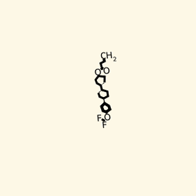 C=CCC(=O)O[C@H]1CC[C@H]([C@H]2CC[C@H](c3ccc(OC(F)F)cc3)CC2)CC1